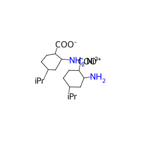 CC(C)C1CCC(C(=O)[O-])C(N)C1.CC(C)C1CCC(C(=O)[O-])C(N)C1.[Ni+2]